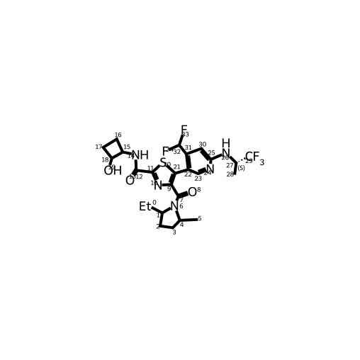 CCC1CCC(C)N1C(=O)c1nc(C(=O)NC2CCC2O)sc1-c1cnc(N[C@@H](C)C(F)(F)F)cc1C(F)F